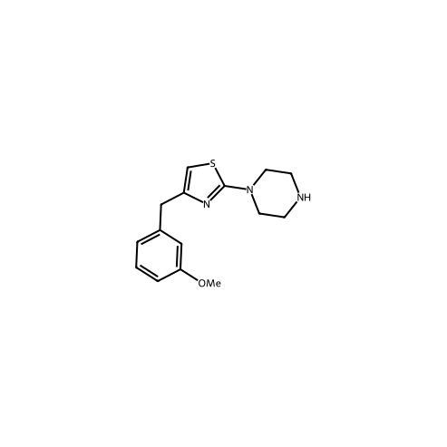 COc1cccc(Cc2csc(N3CCNCC3)n2)c1